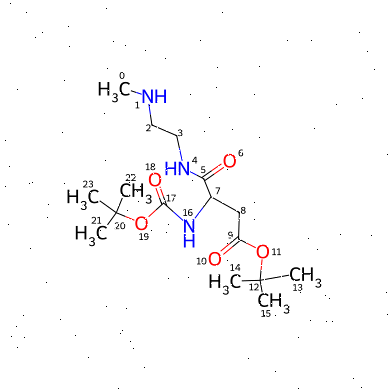 CNCCNC(=O)C(CC(=O)OC(C)(C)C)NC(=O)OC(C)(C)C